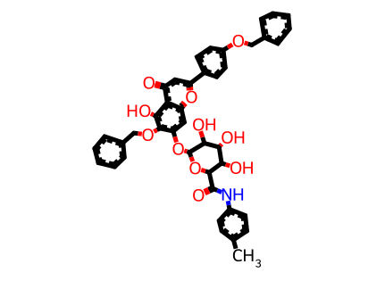 Cc1ccc(NC(=O)C2OC(Oc3cc4oc(-c5ccc(OCc6ccccc6)cc5)cc(=O)c4c(O)c3OCc3ccccc3)C(O)C(O)C2O)cc1